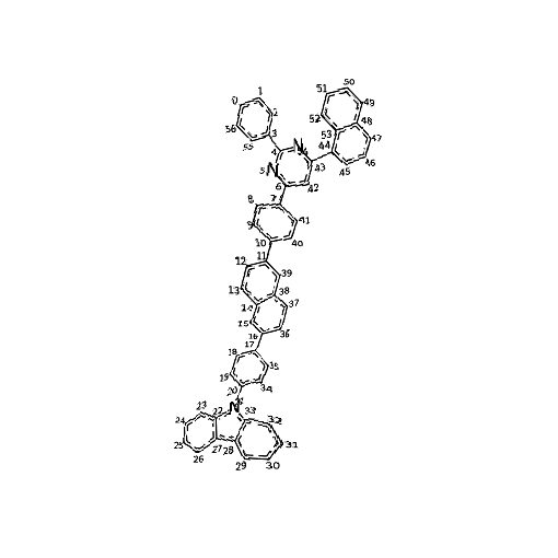 c1ccc(-c2nc(-c3ccc(-c4ccc5cc(-c6ccc(-n7c8ccccc8c8ccccc87)cc6)ccc5c4)cc3)cc(-c3cccc4ccccc34)n2)cc1